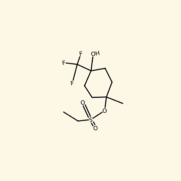 CCS(=O)(=O)OC1(C)CCC(O)(C(F)(F)F)CC1